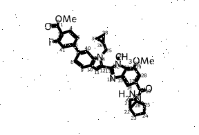 COC(=O)c1ccc(-c2ccc3cc(-c4nc5cc(C(=O)N6CC7CCC6C7N)cc(OC)c5n4C)n(CC4CC4)c3c2)cc1F